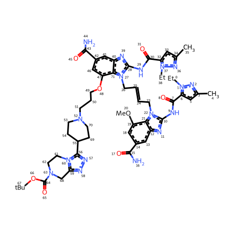 CCn1nc(C)cc1C(=O)Nc1nc2cc(C(N)=O)cc(OC)c2n1C/C=C/Cn1c(NC(=O)c2cc(C)nn2CC)nc2cc(C(N)=O)cc(OCCCN3CCC(c4nnc5n4CCN(C(=O)OC(C)(C)C)C5)CC3)c21